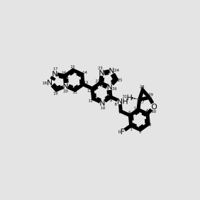 Fc1ccc2c(c1CNc1ncc(-c3ccc4nncn4c3)c3nncn13)[C@H]1CC1O2